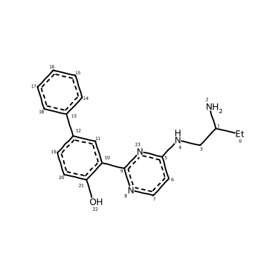 CCC(N)CNc1ccnc(-c2cc(-c3ccccc3)ccc2O)n1